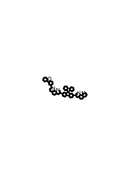 c1ccc(C2(c3ccccc3)c3cc(-c4cnc5c(ccc6cccnc65)c4)ccc3-c3ccc(-c4cnc5c(ccc6ccc(-c7ccc8oc9ccccc9c8c7)nc65)c4)cc32)cc1